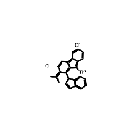 CC(C)=c1ccc2c(c1C1C=Cc3ccccc31)[C]([Ti+2])=c1ccccc1=2.[Cl-].[Cl-]